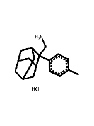 Cc1ccc(C2(CN)C3CC4CC(C3)CC2C4)cc1.Cl